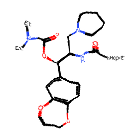 CCCCCCCC(=O)N[C@H](CN1CCCC1)[C@H](OC(=O)N(CC)CC)c1ccc2c(c1)OCCO2